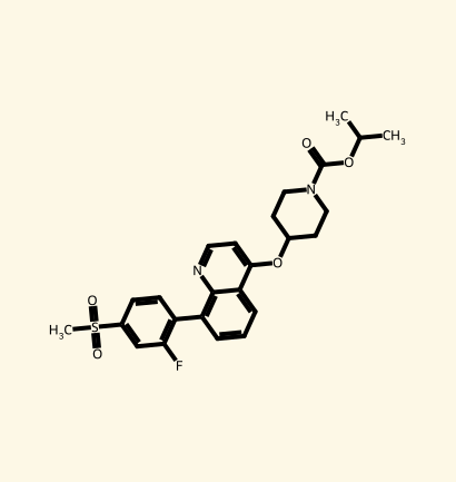 CC(C)OC(=O)N1CCC(Oc2ccnc3c(-c4ccc(S(C)(=O)=O)cc4F)cccc23)CC1